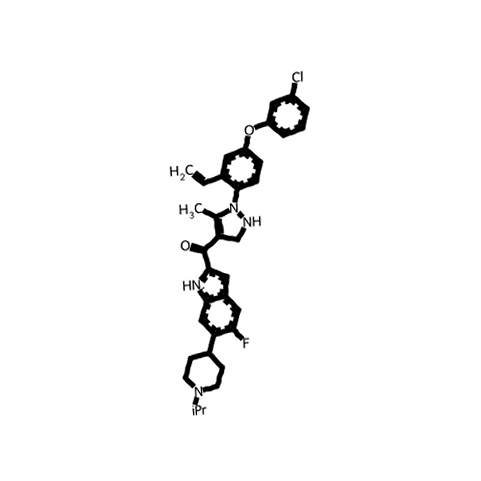 C=Cc1cc(Oc2cccc(Cl)c2)ccc1N1NCC(C(=O)c2cc3cc(F)c(C4CCN(C(C)C)CC4)cc3[nH]2)=C1C